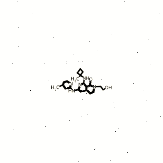 Cc1ccnc(Nc2cc3ccn(CCO)c(=O)c3c(NC3(C)CCC3)n2)c1